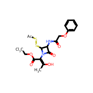 CC(=O)SSC1C(NC(=O)COc2ccccc2)C(=O)N1C(C(=O)OCC(Cl)(Cl)Cl)=C(C)O